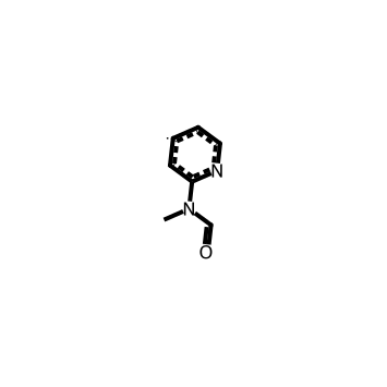 CN(C=O)c1c[c]ccn1